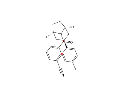 N#Cc1cccc(C(=O)N2[C@@H]3CC[C@H]2C[C@@H](c2ccc(F)cc2)C3)c1